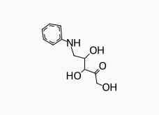 O=C(CO)C(O)C(O)CNc1ccccc1